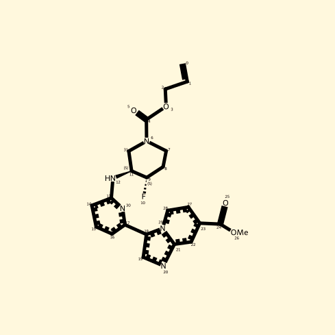 C=CCOC(=O)N1CC[C@H](F)[C@@H](Nc2cccc(-c3cnc4cc(C(=O)OC)ccn34)n2)C1